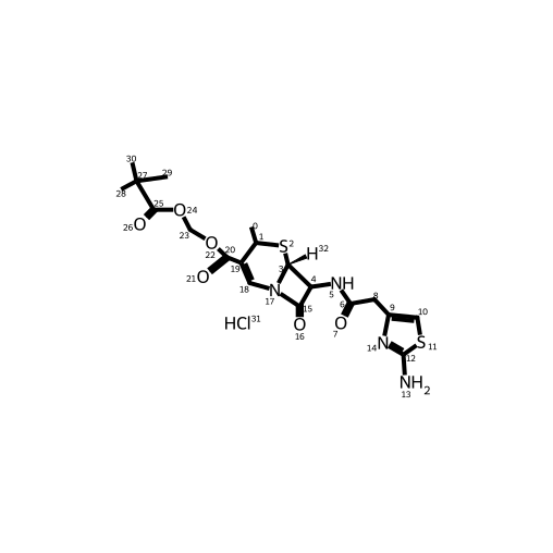 CC1S[C@@H]2C(NC(=O)Cc3csc(N)n3)C(=O)N2C=C1C(=O)OCOC(=O)C(C)(C)C.Cl